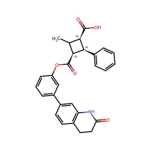 CC1[C@@H](C(=O)O)[C@@H](c2ccccc2)[C@H]1C(=O)Oc1cccc(-c2ccc3c(c2)NC(=O)CC3)c1